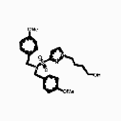 COc1ccc(CN(Cc2ccc(OC)cc2)S(=O)(=O)c2ccn(CCCCO)n2)cc1